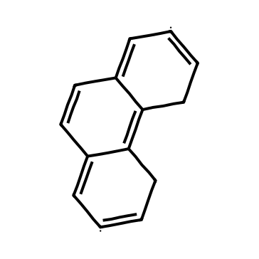 [C]1=CCc2c3c(ccc2=C1)=C[C]=CC3